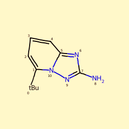 CC(C)(C)c1cccc2nc(N)nn12